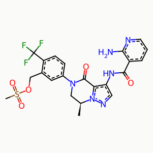 C[C@H]1CN(c2ccc(C(F)(F)F)c(COS(C)(=O)=O)c2)C(=O)c2c(NC(=O)c3cccnc3N)cnn21